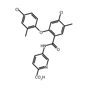 Cc1cc(C(=O)Nc2ccc(C(=O)O)nc2)c(Oc2ccc(Cl)cc2C)cc1Cl